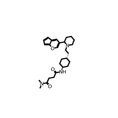 CN(C)C(=O)CCC(=O)N[C@H]1CC[C@H](CCN2CCCCC2c2coc3cccc-3c2)CC1